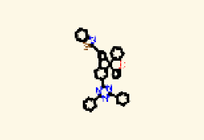 c1ccc(-c2nc(-c3ccccc3)nc(-c3ccc4c(c3)C3(c5ccccc5Oc5ccccc53)c3ccc(-c5nc6ccccc6s5)cc3-4)n2)cc1